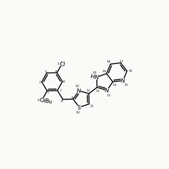 CC(C)COc1ccc(Cl)cc1Cc1nc(-c2nc3ncccc3[nH]2)cs1